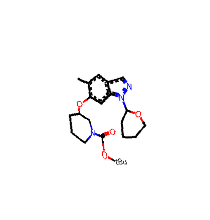 Cc1cc2cnn(C3CCCCO3)c2cc1O[C@@H]1CCCN(C(=O)OC(C)(C)C)C1